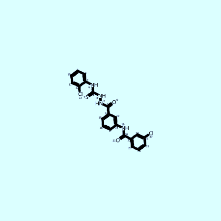 O=C(NNC(=S)Nc1ccccc1Cl)c1cccc(NC(=O)c2cccc(Cl)c2)c1